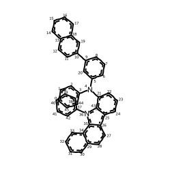 c1ccc(N(c2cccc(-c3ccc4ccccc4c3)c2)c2cccc3c4ccc5ccccc5c4n(-c4ccccc4)c23)cc1